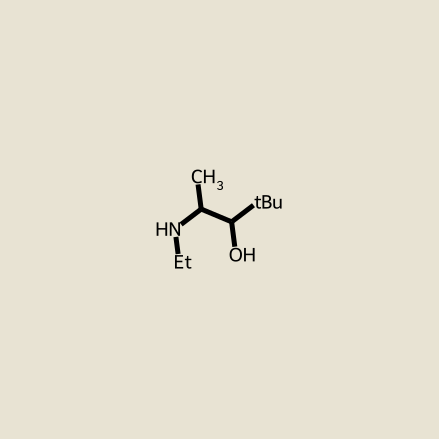 CCNC(C)C(O)C(C)(C)C